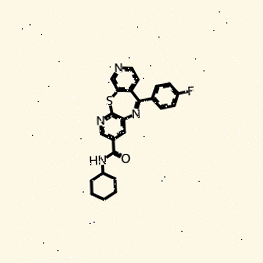 O=C(NC1CCCCC1)c1cnc2c(c1)N=C(c1ccc(F)cc1)c1ccncc1S2